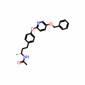 CC(=O)N[C@H](C)CCc1ccc(Oc2ccc(OCc3ccccc3)cn2)cc1